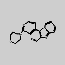 O=Cc1nc2ccccn2c1-c1ccnc(N2CCOCC2)c1